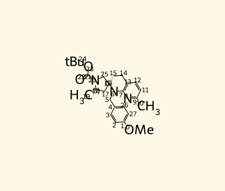 COc1ccc(CN2c3nc(C)ccc3CC[C@@]23C[C@H](C)N(C(=O)OC(C)(C)C)C3)cc1